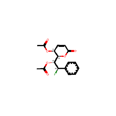 CC(=O)O[C@H]([C@@H]1OC(=O)C=C[C@@H]1OC(C)=O)[C@H](F)c1ccccc1